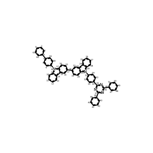 c1ccc(-c2ccc(-n3c4ccccc4c4cc(-c5ccc6c(c5)c5ccccc5n6-c5ccc(-c6nc(-c7ccccc7)nc(-c7ccccc7)n6)cc5)ccc43)cc2)cc1